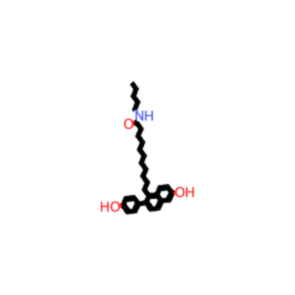 CCCCCNC(=O)CCCCCCCCCCc1c(-c2ccc(O)cc2)ccc2cc(O)ccc12